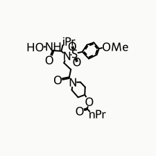 CCCC(=O)OC1CCN(C(=O)CCN(C(C(=O)NO)C(C)C)S(=O)(=O)c2ccc(OC)cc2)CC1